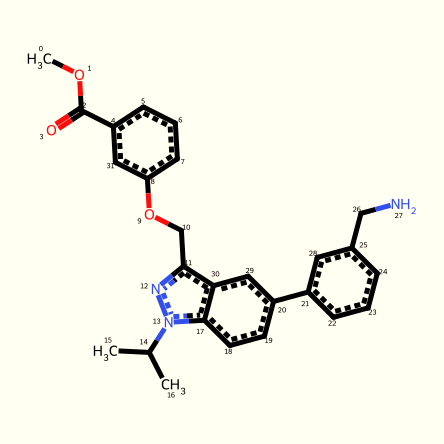 COC(=O)c1cccc(OCc2nn(C(C)C)c3ccc(-c4cccc(CN)c4)cc23)c1